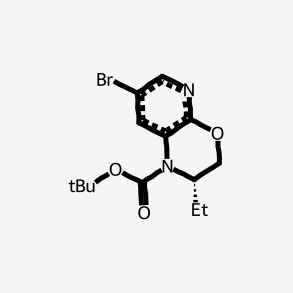 CC[C@H]1COc2ncc(Br)cc2N1C(=O)OC(C)(C)C